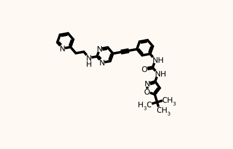 CC(C)(C)c1cc(NC(=O)Nc2cccc(C#Cc3cnc(NCCc4ccccn4)nc3)c2)no1